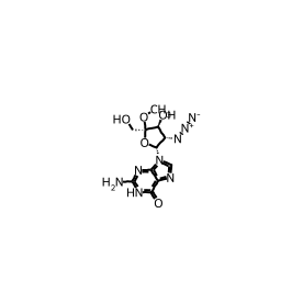 CO[C@]1(CO)O[C@@H](n2cnc3c(=O)[nH]c(N)nc32)[C@@H](N=[N+]=[N-])[C@@H]1O